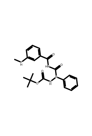 CPc1cccc(C(=O)NC(=O)N(NC(=O)OC(C)(C)C)c2ccccc2)c1